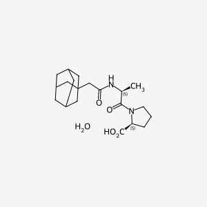 C[C@H](NC(=O)CC12CC3CC(CC(C3)C1)C2)C(=O)N1CCC[C@H]1C(=O)O.O